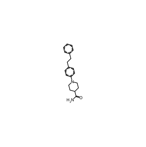 NC(=O)C1CCN(c2ccc(CCc3ccccc3)cc2)CC1